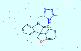 Cc1nnc(CN2C(=O)C3(COc4ccccc43)c3ccccc32)[nH]1